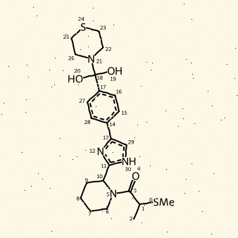 CSC(C)C(=O)N1CCCCC1c1nc(-c2ccc(C(O)(O)N3CCSCC3)cc2)c[nH]1